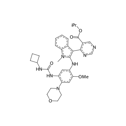 COc1cc(N2CCOCC2)c(NC(=O)NC2CCC2)cc1Nc1c(-c2ncncc2C(=O)OC(C)C)c2ccccc2n1C